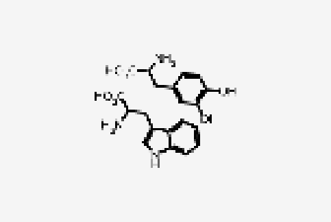 NC(Cc1c[nH]c2ccccc12)C(=O)O.N[C@@H](Cc1ccc(O)c(O)c1)C(=O)O